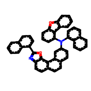 c1ccc2c(-c3nc4ccc5ccc6ccc(N(c7cccc8ccccc78)c7cccc8oc9ccccc9c78)cc6c5c4o3)cccc2c1